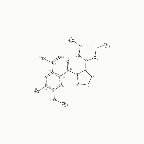 CCOC(SCC)[C@@H]1CCCN1C(=O)c1cc(OC)c(O)cc1[N+](=O)[O-]